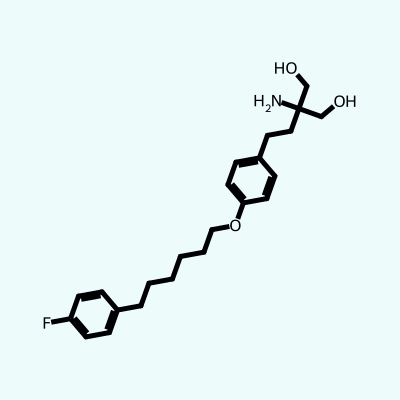 NC(CO)(CO)CCc1ccc(OCCCCCCc2ccc(F)cc2)cc1